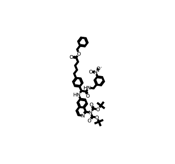 CC(C)(C)OC(=O)N(C(=O)OC(C)(C)C)c1nccc2cc(NC(C(=O)NCc3cccc([N+](=O)[O-])c3)c3ccc(CCCCC(=O)OCc4ccccc4)cc3)ccc12